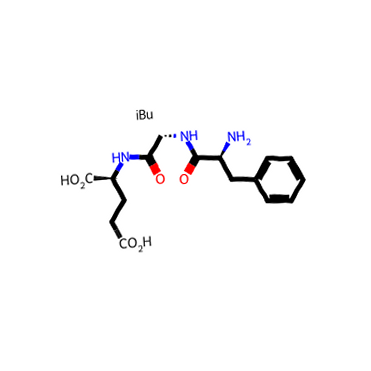 CC[C@H](C)[C@H](NC(=O)[C@@H](N)Cc1ccccc1)C(=O)N[C@@H](CCC(=O)O)C(=O)O